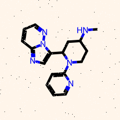 CNC1CCN(c2ccccn2)C(c2cnc3cccnn23)C1